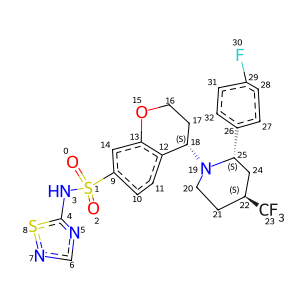 O=S(=O)(Nc1ncns1)c1ccc2c(c1)OCC[C@@H]2N1CC[C@H](C(F)(F)F)C[C@H]1c1ccc(F)cc1